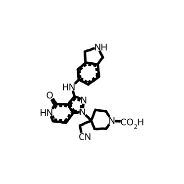 N#CCC1(n2nc(Nc3ccc4c(c3)CNC4)c3c(=O)[nH]ccc32)CCN(C(=O)O)CC1